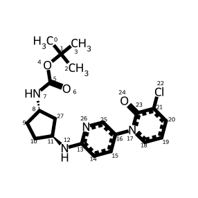 CC(C)(C)OC(=O)N[C@H]1CC[C@H](Nc2ccc(-n3cccc(Cl)c3=O)cn2)C1